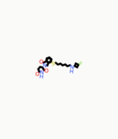 O=C1CCC(N2Cc3c(SCCCCCCCNC4CC(F)C4)cccc3C2=O)C(=O)N1